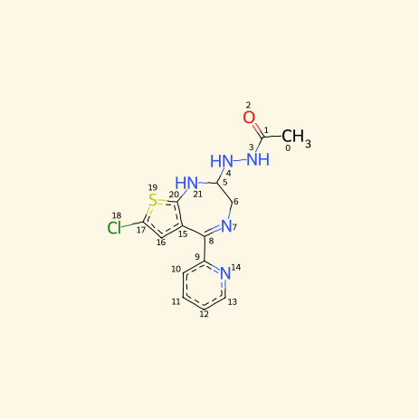 CC(=O)NNC1CN=C(c2ccccn2)c2cc(Cl)sc2N1